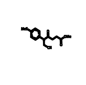 COC(=O)CCC(=O)N(CC#N)c1ccc(SC)cc1